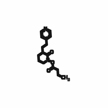 CCCC(=O)ON1CCCC(CCc2ccncc2)C1=O